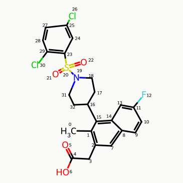 Cc1c(CC(=O)O)cc2ccc(F)cc2c1C1CCN(S(=O)(=O)c2cc(Cl)ccc2Cl)CC1